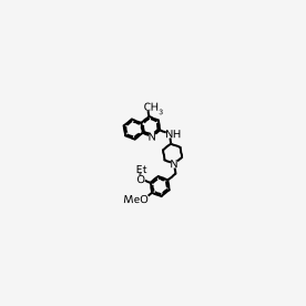 CCOc1cc(CN2CCC(Nc3cc(C)c4ccccc4n3)CC2)ccc1OC